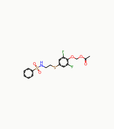 CC(=O)OCOc1c(F)cc(SCCNS(=O)(=O)c2ccccc2)cc1F